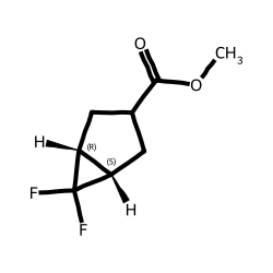 COC(=O)C1C[C@@H]2[C@H](C1)C2(F)F